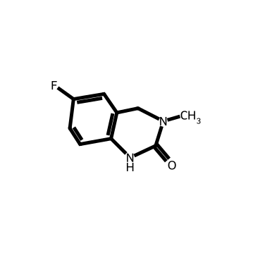 CN1Cc2cc(F)ccc2NC1=O